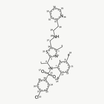 Cc1nc(C(C)N(c2cc(F)ccc2F)S(=O)(=O)c2ccc(Cl)cc2)sc1CNCCc1ccccn1